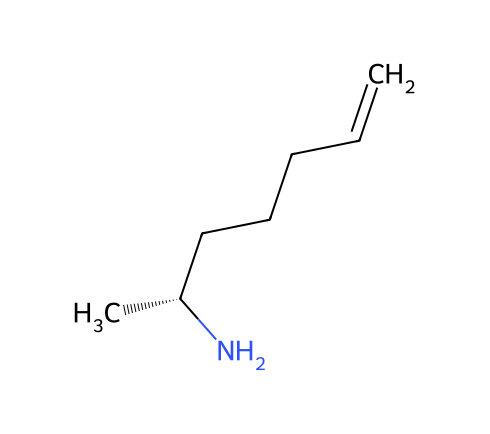 C=CCCC[C@@H](C)N